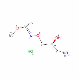 CCOC(C)=NOC[C@@H](O)CN.Cl